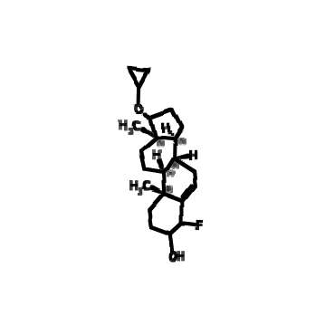 C[C@]12CCC(O)C(F)C1=CC[C@@H]1[C@H]2CC[C@]2(C)C(OC3CC3)CC[C@@H]12